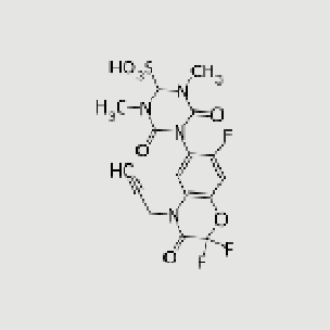 C#CCN1C(=O)C(F)(F)Oc2cc(F)c(N3C(=O)N(C)C(S(=O)(=O)O)N(C)C3=O)cc21